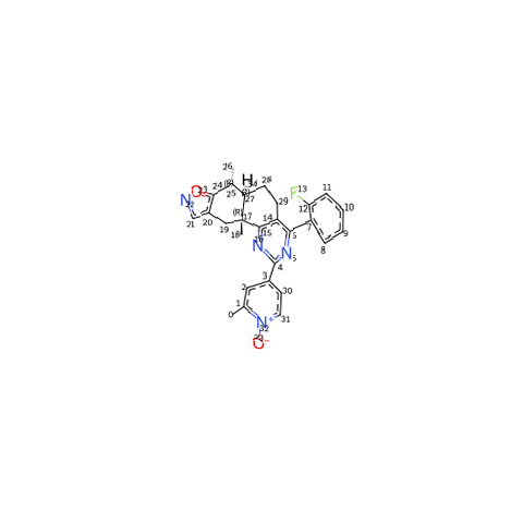 Cc1cc(-c2nc(-c3ccccc3F)c3c(n2)[C@]2(C)Cc4cnoc4[C@H](C)[C@H]2CC3)cc[n+]1[O-]